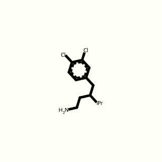 CC(C)C(CCN)Cc1ccc(Cl)c(Cl)c1